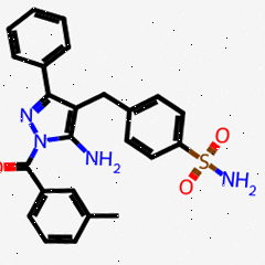 Cc1cccc(C(=O)n2nc(-c3ccccc3)c(Cc3ccc(S(N)(=O)=O)cc3)c2N)c1